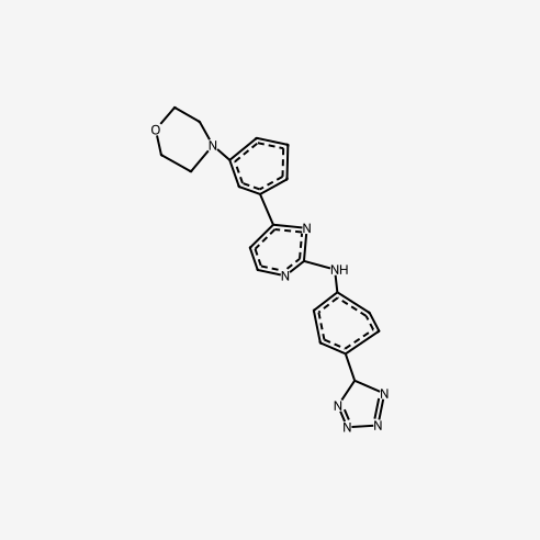 c1cc(-c2ccnc(Nc3ccc(C4N=NN=N4)cc3)n2)cc(N2CCOCC2)c1